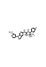 Cc1cc(-n2ncc3cc(NC(=O)N[C@@H](c4ccc(F)cc4)C(C)(C)O)ncc32)ccn1